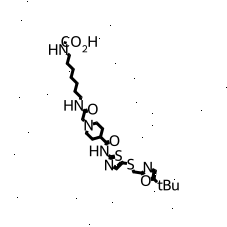 CC(C)(C)c1cnc(CSc2cnc(NC(=O)C3CCN(CC(=O)NCCCCCCCNC(=O)O)CC3)s2)o1